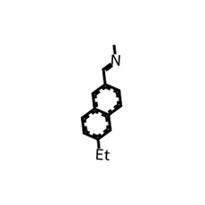 CCc1ccc2cc(/C=N/C)ccc2c1